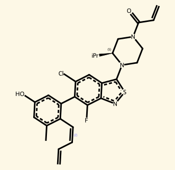 C=C/C=C\c1c(C)cc(O)cc1-c1c(Cl)cc2c(N3CCN(C(=O)C=C)C[C@@H]3C(C)C)snc2c1F